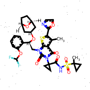 Cc1c(-c2ncco2)sc2c1c(=O)n(C1(C(=O)NS(=O)(=O)C3(C)CC3)CC1)c(=O)n2C[C@H](O[C@H]1C[C@H]2CC[C@@H](C1)O2)c1ccccc1OC(F)F